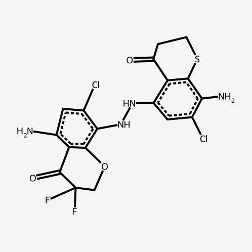 Nc1cc(Cl)c(NNc2cc(Cl)c(N)c3c2C(=O)CCS3)c2c1C(=O)C(F)(F)CO2